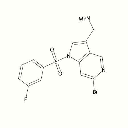 CNCc1cn(S(=O)(=O)c2cccc(F)c2)c2cc(Br)ncc12